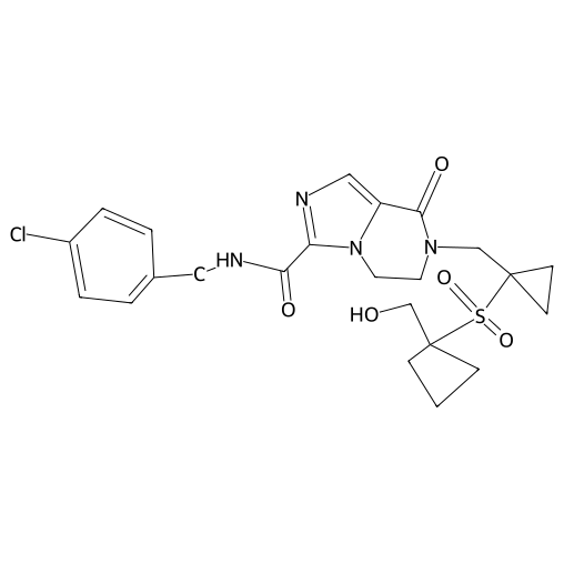 O=C(NCc1ccc(Cl)cc1)c1ncc2n1CCN(CC1(S(=O)(=O)C3(CO)CCC3)CC1)C2=O